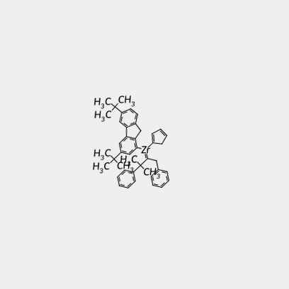 CC(C)(C)c1ccc2c(c1)-c1cc(C(C)(C)C)c[c](/[Zr]([C]3=CC=CC3)=[C](/Cc3ccccc3)C(C)(C)c3ccccc3)c1C2